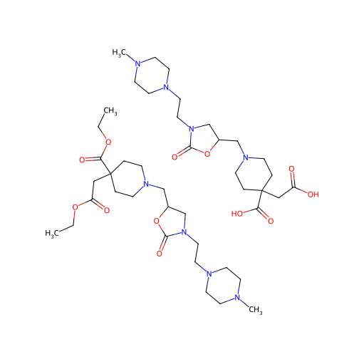 CCOC(=O)CC1(C(=O)OCC)CCN(CC2CN(CCN3CCN(C)CC3)C(=O)O2)CC1.CN1CCN(CCN2CC(CN3CCC(CC(=O)O)(C(=O)O)CC3)OC2=O)CC1